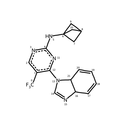 FC(F)(F)c1cnc(NC23CC(C2)C3)nc1N1C=NC2C=CC=CC21